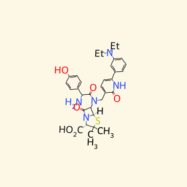 CCN(CC)c1cccc(-c2ccc(CN(C(=O)C(N)c3ccc(O)cc3)[C@@H]3C(=O)N4[C@@H]3SC(C)(C)[C@@H]4C(=O)O)c(=O)[nH]2)c1